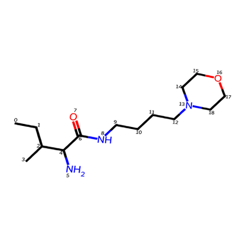 CCC(C)C(N)C(=O)NCCCCN1CCOCC1